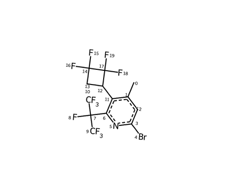 Cc1[c]c(Br)nc(C(F)(C(F)(F)F)C(F)(F)F)c1C1CC(F)(F)C1(F)F